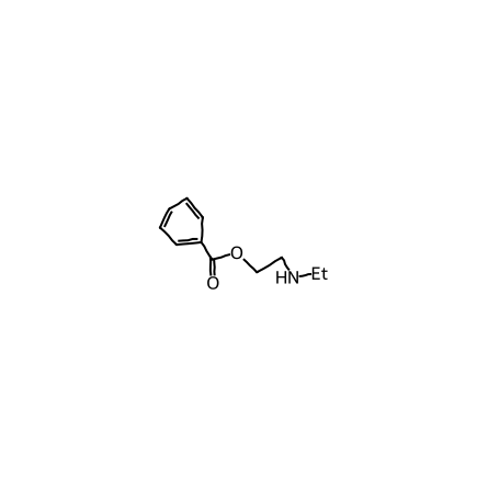 CCNCCOC(=O)c1ccccc1